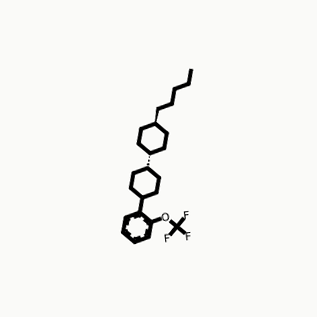 CCCCC[C@H]1CC[C@H](C2CCC(c3ccccc3OC(F)(F)F)CC2)CC1